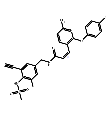 C#Cc1cc(CNC(=O)/C=C\c2ccc(C(F)(F)F)nc2Oc2ccc(F)cc2)cc(F)c1NS(C)(=O)=O